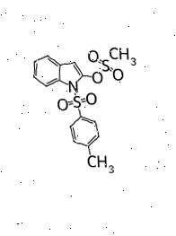 Cc1ccc(S(=O)(=O)n2c(OS(C)(=O)=O)cc3ccccc32)cc1